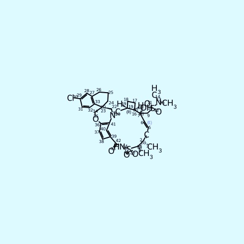 C[C@@H]1[C@@H](C)C/C=C/[C@@](O)(CS(=O)(=O)N(C)C)[C@@H]2CC[C@H]2CN2C[C@@]3(CCCc4cc(Cl)ccc43)COc3ccc(cc32)C(=O)NS1(=O)=O